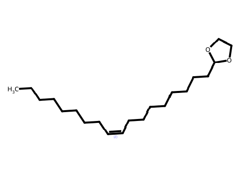 CCCCCCCC/C=C\CCCCCCCCC1OCCO1